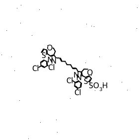 O=S(=O)(O)c1cc2c(s1)-c1c(c(/C=C/CCC/C=C/c3nn(-c4ccc(Cl)cc4Cl)c4c3CCOc3ccsc3-4)nn1-c1ccc(Cl)cc1Cl)CCO2